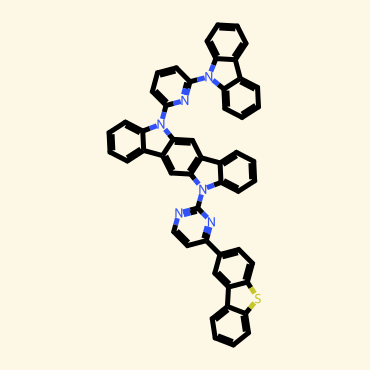 c1cc(-n2c3ccccc3c3ccccc32)nc(-n2c3ccccc3c3cc4c(cc32)c2ccccc2n4-c2nccc(-c3ccc4sc5ccccc5c4c3)n2)c1